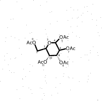 CC(=O)OCC1OC(OC(C)=O)C(OC(C)=O)[C@H](OC(C)=O)[C@@H]1OC(C)=O